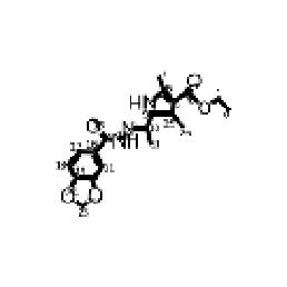 CCOC(=O)c1c(C)[nH]c(/C(C)=N/NC(=O)c2ccc3c(c2)OCO3)c1C